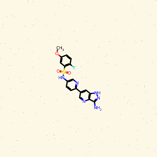 COc1ccc(F)c(S(=O)(=O)Nc2ccc(-c3cnc4c(N)n[nH]c4c3)nc2)c1